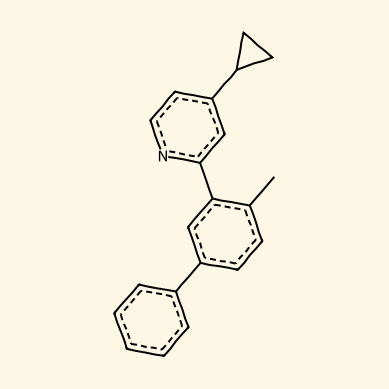 Cc1ccc(-c2ccccc2)cc1-c1cc(C2CC2)ccn1